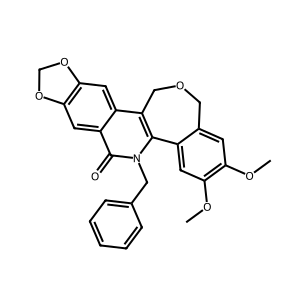 COc1cc2c(cc1OC)-c1c(c3cc4c(cc3c(=O)n1Cc1ccccc1)OCO4)COC2